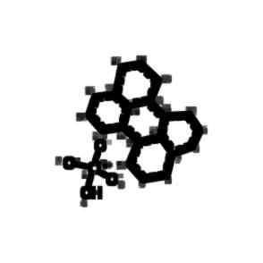 [O-][Cl+3]([O-])([O-])O.c1cc2cccc3c4cccc5cccc(c(c1)c23)c54